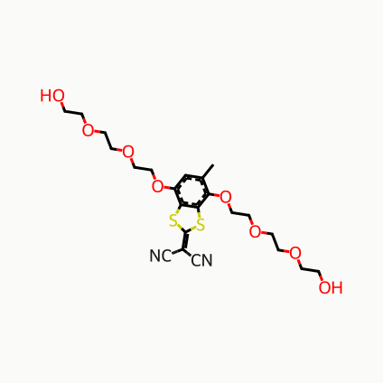 Cc1cc(OCCOCCOCCO)c2c(c1OCCOCCOCCO)SC(=C(C#N)C#N)S2